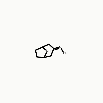 ON=C1C[C]2CCC(C1)N2